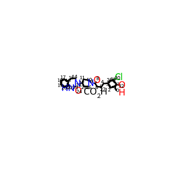 Cc1cc(CC(CC(=O)N2CCC(N3CCc4ccccc4NC3=O)CC2)C(=O)O)cc(Cl)c1O